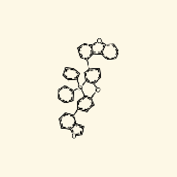 c1ccc([Si]2(c3ccccc3)c3cc(-c4cccc5occc45)ccc3Oc3ccc(-c4cccc5oc6ccccc6c45)cc32)cc1